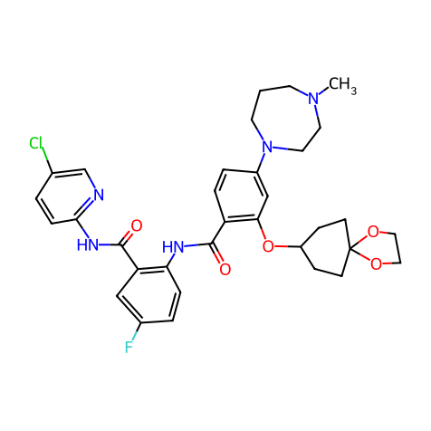 CN1CCCN(c2ccc(C(=O)Nc3ccc(F)cc3C(=O)Nc3ccc(Cl)cn3)c(OC3CCC4(CC3)OCCO4)c2)CC1